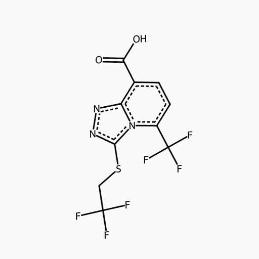 O=C(O)c1ccc(C(F)(F)F)n2c(SCC(F)(F)F)nnc12